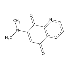 CN(C)C1=CC(=O)c2cccnc2C1=O